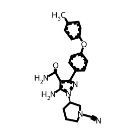 Cc1ccc(Oc2ccc(-c3nn([C@@H]4CCCN(C#N)C4)c(N)c3C(N)=O)cc2)cc1